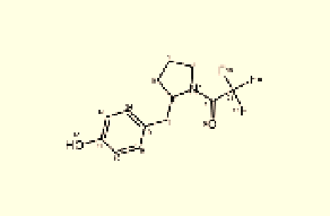 O=C(N1CCCC1Cc1ccc(O)cc1)C(F)(F)F